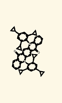 O=c1c2ccccc2n(-c2c(C3CC3)cc(C3CC3)cc2C2CC2)c2cc3c(=O)c4ccccc4n(-c4c(C5CC5)cc(C5CC5)cc4C4CC4)c3cc12